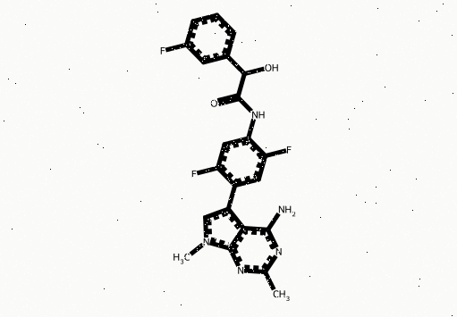 Cc1nc(N)c2c(-c3cc(F)c(NC(=O)C(O)c4cccc(F)c4)cc3F)cn(C)c2n1